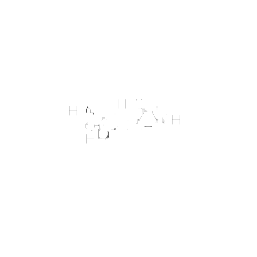 Cc1ccc(CCC(C)CC(CN)C(=O)O)c(C)c1